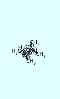 CCOC(=O)CN(CC(=O)OCC)c1cc(C)cc(N(CC(=O)OCC)CC(=O)OCC)c1OC